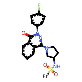 CCS(=O)(=O)NC1CCN(c2nn(-c3ccc(F)cc3)c(=O)c3ccccc23)C1